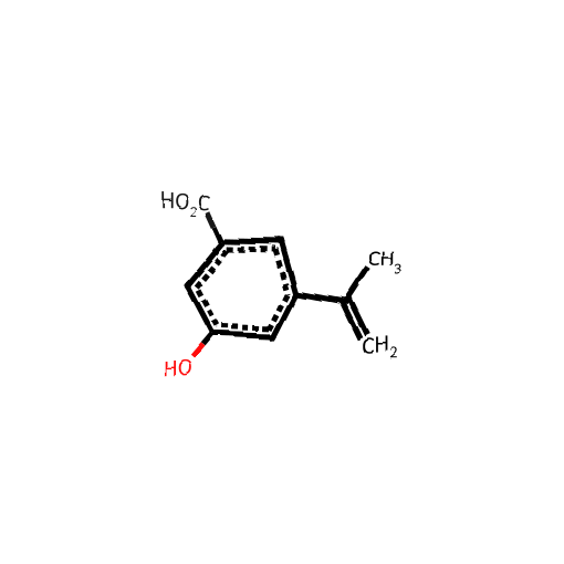 C=C(C)c1cc(O)cc(C(=O)O)c1